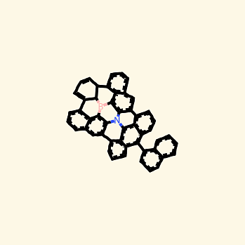 C1=CC2c3cccc4cc5c6c(c34)B3c4c7c(cc8cccc(c48)C(=C1)C32)-c1cccc2c(-c3cccc4ccccc34)c3cccc-5c3c(c12)N76